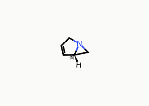 C1=C[C@H]2CN2C1